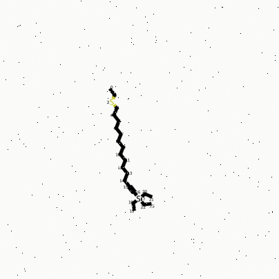 CCSCCCCCCCCCCCCC#C[Si](CC)(CC)CC